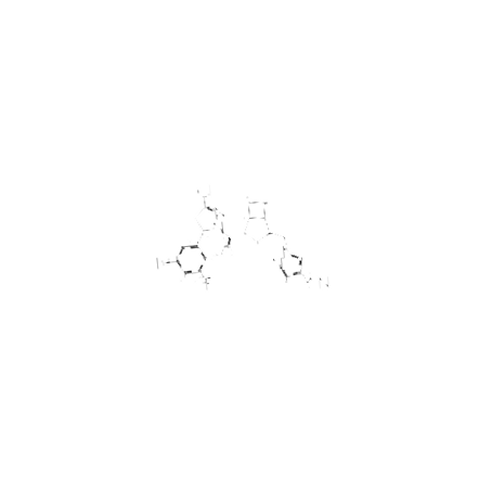 CC1=NN(C(=O)[C@H]2CC(Cn3cc(C#N)cn3)C3CCC32)C(c2cc(F)cc(F)c2)C1